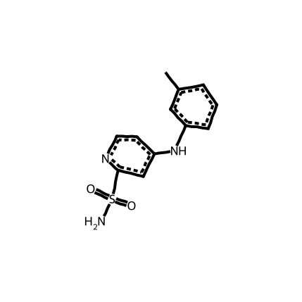 Cc1cccc(Nc2ccnc(S(N)(=O)=O)c2)c1